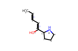 C/C=C/C=C(\O)C1CCCN1